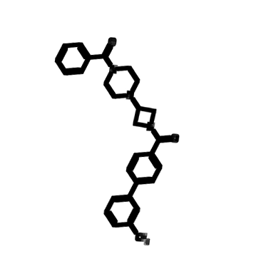 O=C(c1ccccc1)N1CCN(C2CN(C(=O)c3ccc(-c4cccc(C(F)(F)F)c4)cc3)C2)CC1